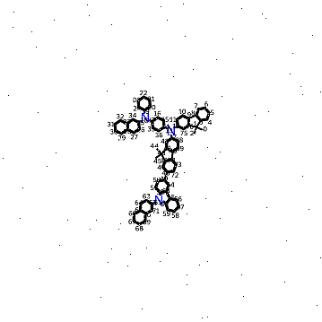 CC1(C)c2ccccc2-c2ccc(N(c3ccc(N(c4ccccc4)c4ccc5ccccc5c4)cc3)c3ccc4c(c3)C(C)(C)c3cc(-c5ccc6c(c5)c5ccccc5n6-c5ccc6ccccc6c5)ccc3-4)cc21